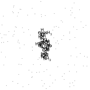 Nc1nc2c(ncn2[C@@H]2O[C@@H]3CO[PH](=O)O[C@@H]4C(COP(=O)(S)O[C@@H]2[C@@H]3F)O[C@@H](n2cnc3c(N)ncnc32)[C@H]4F)c(=O)[nH]1